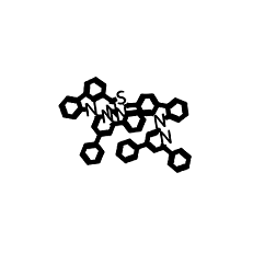 c1ccc(-c2cc(-c3ccccc3)nc(-n3c4ccccc4c4ccc(-c5nnc(-c6cccc7c8ccccc8n(-c8cc(-c9ccccc9)cc(-c9ccccc9)n8)c67)s5)cc43)c2)cc1